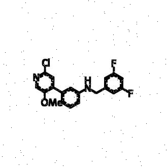 COc1cnc(Cl)cc1-c1cccc(NCc2cc(F)cc(F)c2)c1